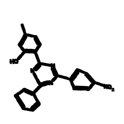 Cc1ccc(-c2nc(-c3ccccc3)nc(-c3ccc([N+](=O)[O-])cc3)n2)c(O)c1